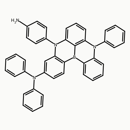 Nc1ccc(N2c3cc(N(c4ccccc4)c4ccccc4)ccc3B3c4ccccc4N(c4ccccc4)c4cccc2c43)cc1